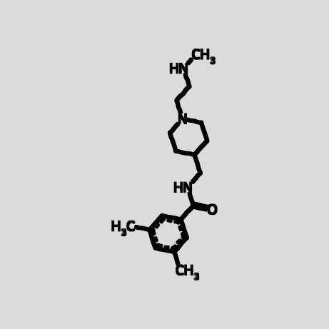 CNCCN1CCC(CNC(=O)c2cc(C)cc(C)c2)CC1